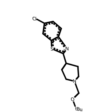 CC(C)(C)OCN1CCC(c2nc3ccc(Cl)cc3s2)CC1